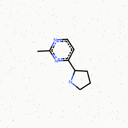 Cc1nccc(C2CCC[N]2)n1